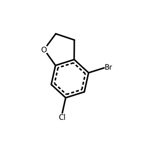 Clc1cc(Br)c2c(c1)OCC2